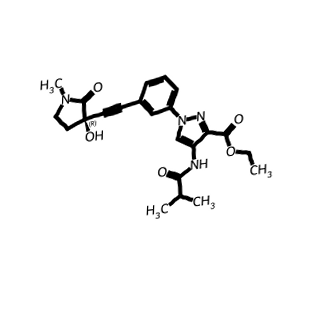 CCOC(=O)c1nn(-c2cccc(C#C[C@]3(O)CCN(C)C3=O)c2)cc1NC(=O)C(C)C